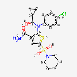 NC(=O)c1cc(S(=O)(=O)N2CCCCC2)sc1N(C(=O)C1CC1)c1ccc(Cl)cc1